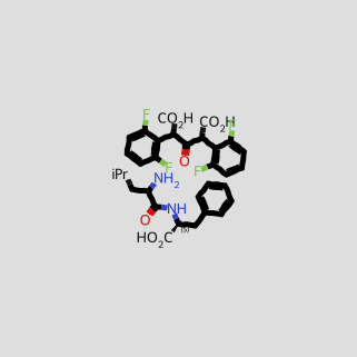 CC(C)CC(N)C(=O)N[C@@H](Cc1ccccc1)C(=O)O.O=C(O)C(C(=O)C(C(=O)O)c1c(F)cccc1F)c1c(F)cccc1F